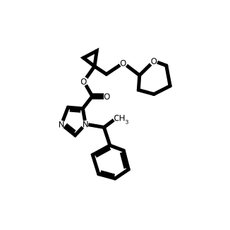 CC(c1ccccc1)n1cncc1C(=O)OC1(COC2CCCCO2)CC1